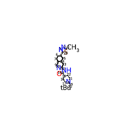 Cc1nnc(-c2ccc3cnc(NC(=O)C4CCN(CC(C)(C)C)CC4)cc3c2)s1